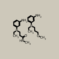 CCN(CCC(=O)NC)c1cccc(N)c1.CCN(CCCOC)c1cccc(N)c1